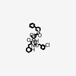 O=C(NC(CC1CCCCC1)C(=O)NC(CO)CCC(=O)N1CCCC(c2ccccc2)C1)OCc1cccc(Cl)c1